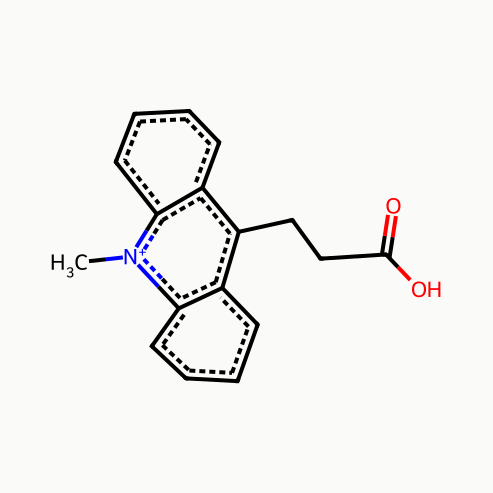 C[n+]1c2ccccc2c(CCC(=O)O)c2ccccc21